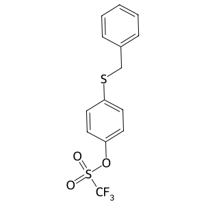 O=S(=O)(Oc1ccc(SCc2ccccc2)cc1)C(F)(F)F